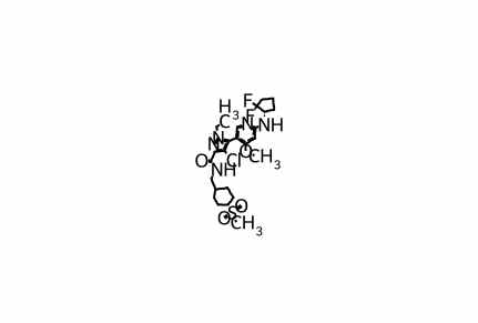 CCn1nc(C(=O)NCC2CCC(S(C)(=O)=O)CC2)c(Cl)c1-c1cnc(N[C@H]2CCCC2(F)F)cc1OC